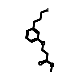 COC(=O)CCOc1cccc(CCCI)c1